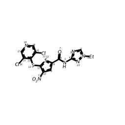 CCn1cnc(NC(=O)c2cc([N+](=O)[O-])c(Sc3c(Cl)cncc3Cl)s2)n1